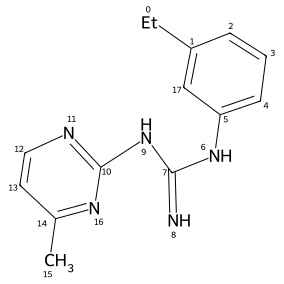 CCc1cccc(NC(=N)Nc2nccc(C)n2)c1